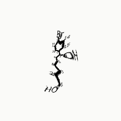 OCCCCCCC(O)c1ccc(Br)cc1